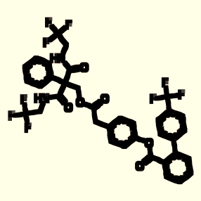 O=C(Cc1ccc(OC(=O)c2ccccc2-c2ccc(C(F)(F)F)cc2)cc1)OCC(C(=O)NCC(F)(F)F)(C(=O)NCC(F)(F)F)c1ccccc1